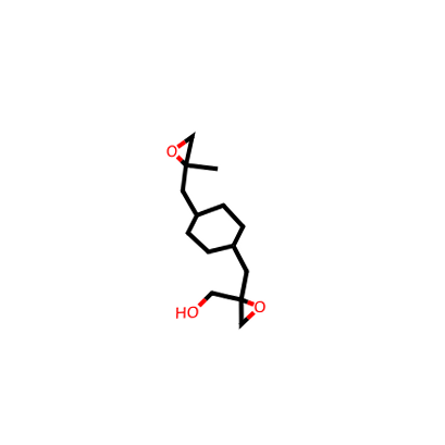 CC1(CC2CCC(CC3(CO)CO3)CC2)CO1